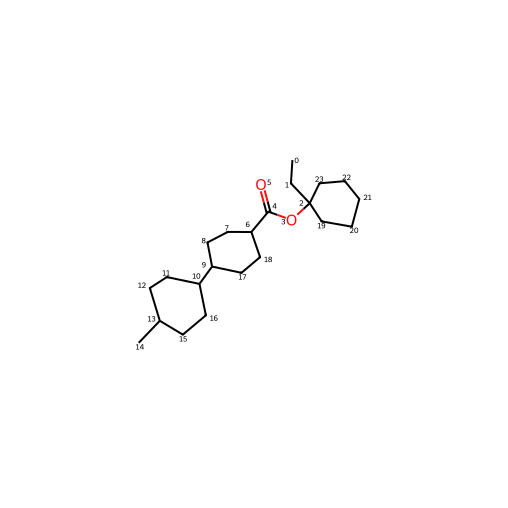 CCC1(OC(=O)C2CCC(C3CCC(C)CC3)CC2)CCCCC1